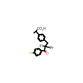 CCC(Cc1ccc(C(C)C(=O)O)cc1)(C(=O)c1ccc(F)cc1)C(C)C